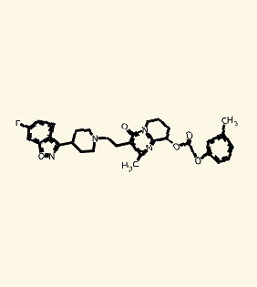 Cc1cccc(OC(=O)OC2CCCn3c2nc(C)c(CCN2CCC(c4noc5cc(F)ccc45)CC2)c3=O)c1